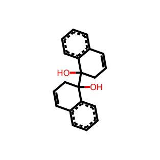 OC1(C2(O)CC=Cc3ccccc32)CC=Cc2ccccc21